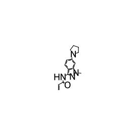 C=CC(=O)Nc1nn(C)c2cc(N3CCCC3)ccc12